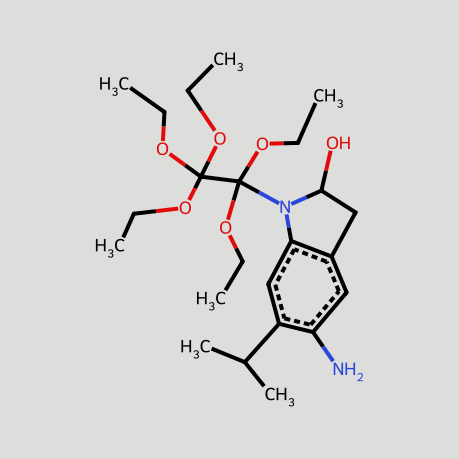 CCOC(OCC)(OCC)C(OCC)(OCC)N1c2cc(C(C)C)c(N)cc2CC1O